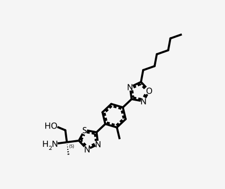 CCCCCCc1nc(-c2ccc(-c3nnc([C@@](C)(N)CO)s3)c(C)c2)no1